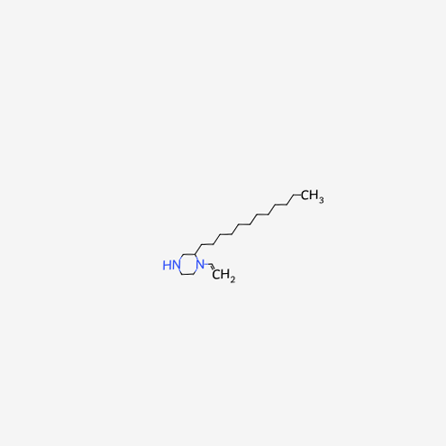 C=CN1CCNCC1CCCCCCCCCCCC